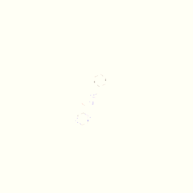 COc1cc(/C=N/NC(=O)c2cncc(C)n2)cc(OC)c1